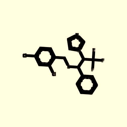 FC(F)(F)C(C(SCc1ccc(Cl)cc1Cl)c1ccccc1)n1ccnc1